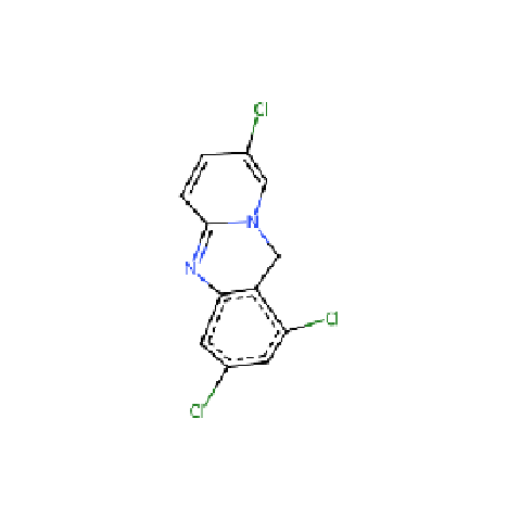 ClC1=CN2Cc3c(Cl)cc(Cl)cc3N=C2C=C1